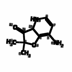 CC1(C)OC2=C(N)C=CNC2C1=O